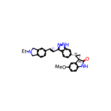 CCN1Cc2ccc(/C=C/c3n[nH]c4cc([C@@H]5C[C@@]56C(=O)Nc5ccc(OC)cc56)ccc34)cc2C1